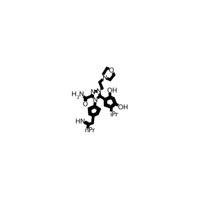 CCCC(=N)Cc1ccc(N2C(C(N)=O)=NN(CCN3CCOCC3)C2c2cc(C(C)C)c(O)cc2O)cc1